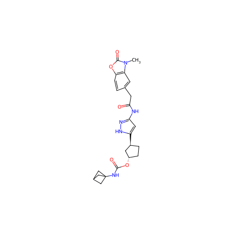 Cn1c(=O)oc2ccc(CC(=O)Nc3cc([C@H]4CC[C@H](OC(=O)NC56CC(C5)C6)C4)[nH]n3)cc21